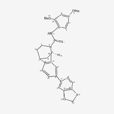 COc1ccc(NC(=S)N2CCC3C[C@@H]2c2cc(-c4ccc5c(c4)OCO5)ccc23)c(OC)c1